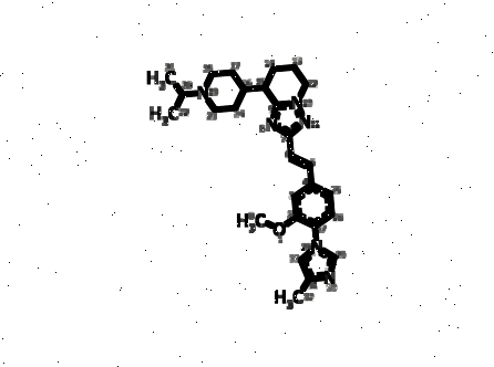 COc1cc(/C=C/c2nc3n(n2)CCCC3C2CCN(C(C)C)CC2)ccc1-n1cnc(C)c1